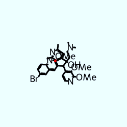 COc1nc2ccc(Br)cc2cc1C(c1ccnc(OC)c1OC)C(O)(CCN(C)C)c1cc(C)nc(C)c1